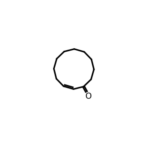 O=C1C=CCCCCCCCCC1